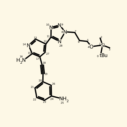 CC(C)(C)[Si](C)(C)OCCCn1nnc(-c2cnc(N)c(C#Cc3cccc(N)c3)c2)n1